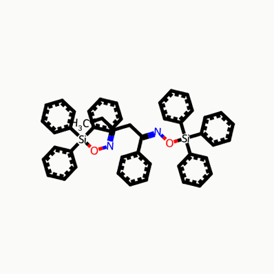 CCC(CC(=NO[Si](c1ccccc1)(c1ccccc1)c1ccccc1)c1ccccc1)=NO[Si](c1ccccc1)(c1ccccc1)c1ccccc1